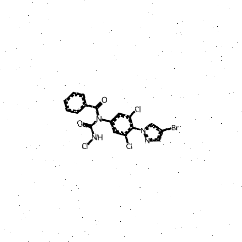 O=C(NCl)N(C(=O)c1ccccc1)c1cc(Cl)c(-n2cc(Br)cn2)c(Cl)c1